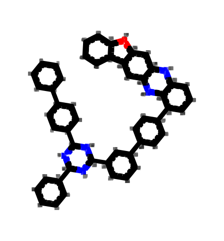 c1ccc(-c2ccc(-c3nc(-c4ccccc4)nc(-c4cccc(-c5ccc(-c6cccc7nc8cc9oc%10ccccc%10c9cc8nc67)cc5)c4)n3)cc2)cc1